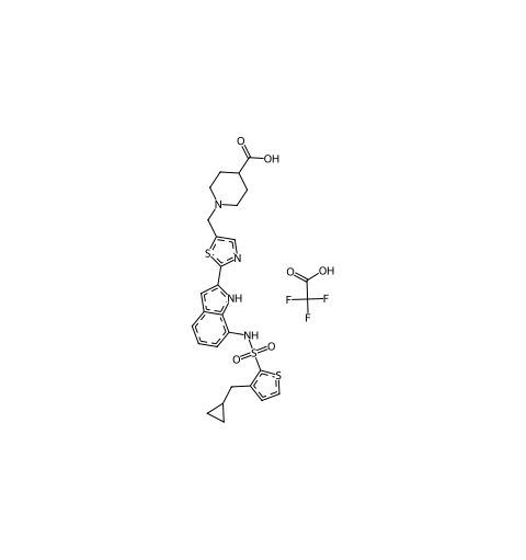 O=C(O)C(F)(F)F.O=C(O)C1CCN(Cc2cnc(-c3cc4cccc(NS(=O)(=O)c5sccc5CC5CC5)c4[nH]3)s2)CC1